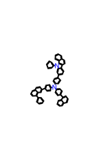 c1ccc(-c2cccc3ccc(-c4ccc(N(c5ccc(-c6ccc7c8ccc9ccccc9c8n(-c8ccccc8)c7c6)cc5)c5ccc(-c6cccc7ccccc67)cc5)cc4)cc23)cc1